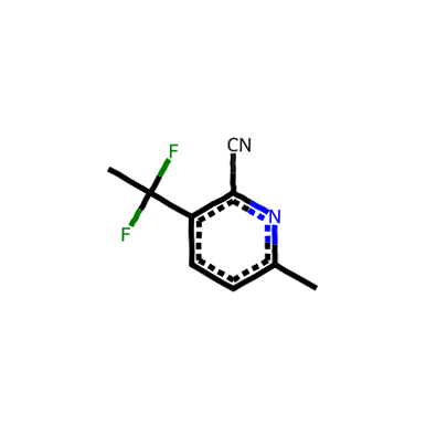 Cc1ccc(C(C)(F)F)c(C#N)n1